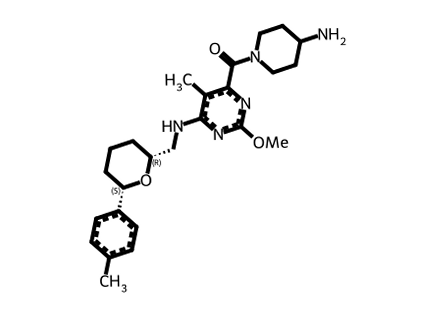 COc1nc(NC[C@H]2CCC[C@@H](c3ccc(C)cc3)O2)c(C)c(C(=O)N2CCC(N)CC2)n1